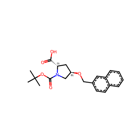 CC(C)(C)OC(=O)N1C[C@H](OCc2ccc3ccccc3c2)C[C@H]1C(=O)O